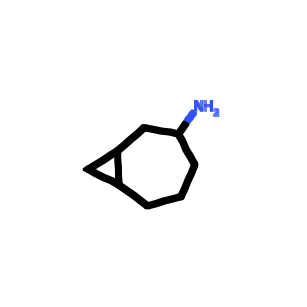 NC1CCCC2CC2C1